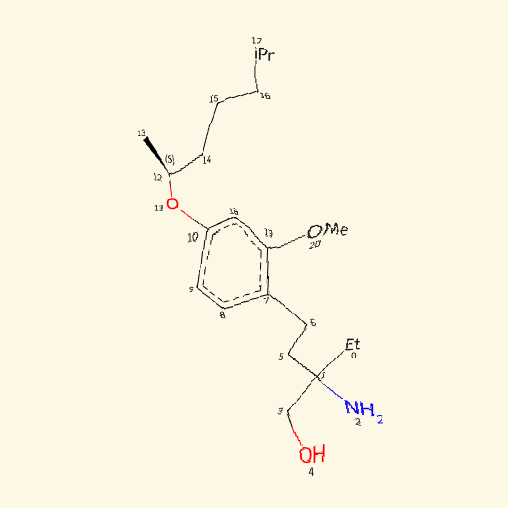 CCC(N)(CO)CCc1ccc(O[C@@H](C)CCCC(C)C)cc1OC